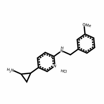 COc1cccc(CNc2ccc(C3CC3N)cn2)c1.Cl